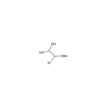 CCC(SC)[C](O)O